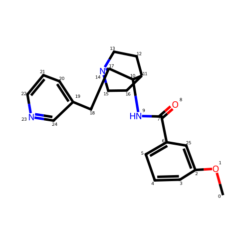 COc1cccc(C(=O)NC2C3CCN(CC3)C2Cc2cccnc2)c1